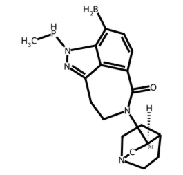 Bc1ccc2c3c(nn(PC)c13)CCN([C@@H]1CN3CCC1CC3)C2=O